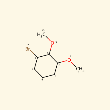 COC1CCCC(Br)C1OC